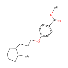 CCCOC(=O)c1ccc(OCCCC2CCCCC2CCC)cc1